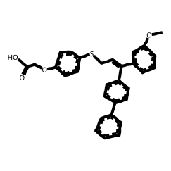 COc1cccc(C(=CCSc2ccc(OCC(=O)O)cc2)c2ccc(-c3ccccc3)cc2)c1